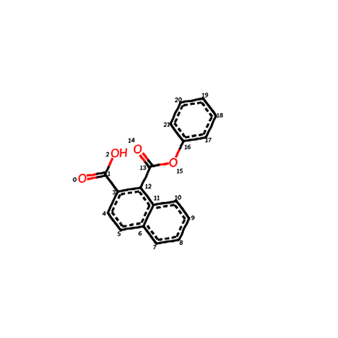 O=C(O)c1ccc2ccccc2c1C(=O)Oc1ccccc1